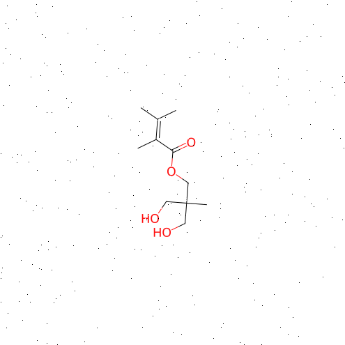 CC(C)=C(C)C(=O)OCC(C)(CO)CO